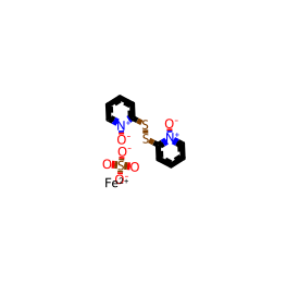 O=S(=O)([O-])[O-].[Fe+2].[O-][n+]1ccccc1SSc1cccc[n+]1[O-]